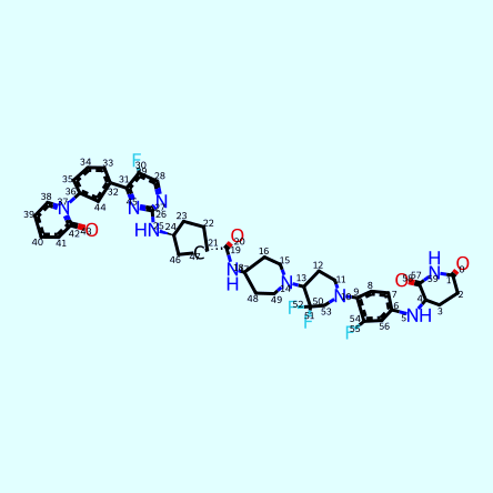 O=C1CCC(Nc2ccc(N3CCC(N4CCC(NC(=O)[C@H]5CC[C@H](Nc6ncc(F)c(-c7cccc(-n8ccccc8=O)c7)n6)CC5)CC4)C(F)(F)C3)c(F)c2)C(=O)N1